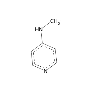 [CH2]Nc1ccncc1